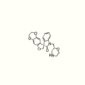 O=C1N(C[C@@H]2CNCCO2)c2ccccc2[C@]12COc1cc3c(cc12)OCCO3